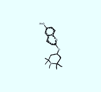 COc1ccc2nc(OC3CC(C)(C)N(C)C(C)(C)C3)ccc2c1